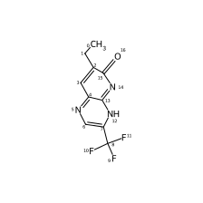 CCc1cc2ncc(C(F)(F)F)[nH]c-2nc1=O